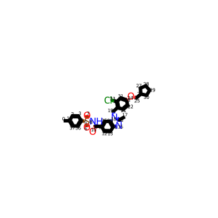 Cc1ccc(S(=O)(=O)NC(=O)c2ccc3nc(C)n(Cc4ccc(OCC5CCCC5)cc4Cl)c3c2)cc1